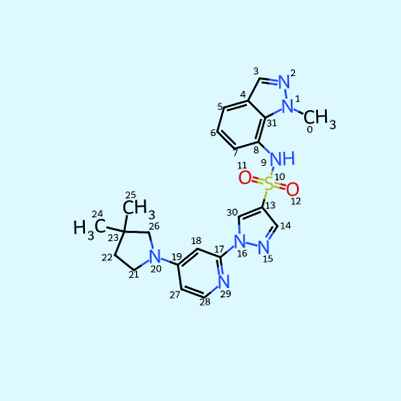 Cn1ncc2cccc(NS(=O)(=O)c3cnn(-c4cc(N5CCC(C)(C)C5)ccn4)c3)c21